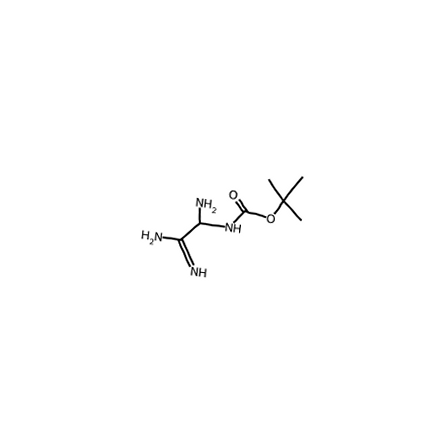 CC(C)(C)OC(=O)NC(N)C(=N)N